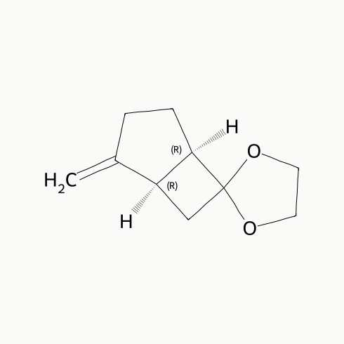 C=C1CC[C@@H]2[C@H]1CC21OCCO1